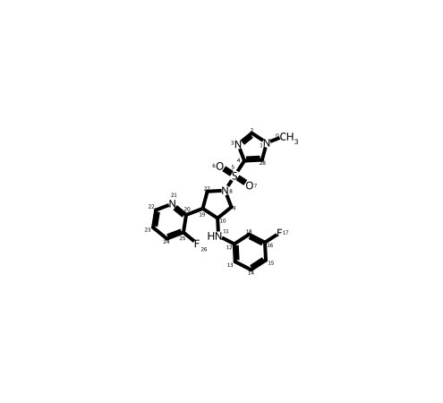 Cn1cnc(S(=O)(=O)N2CC(Nc3cccc(F)c3)C(c3ncccc3F)C2)c1